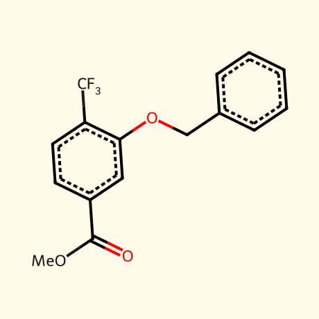 COC(=O)c1ccc(C(F)(F)F)c(OCc2ccccc2)c1